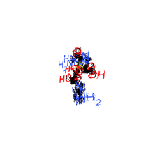 Nc1nc2c(ncn2[C@@H]2O[C@H](CO)C[C@H]2P(O)(=S)OC[C@H]2O[C@@H](n3cnc4c(N)ncnc43)C[C@@H]2O)c(=O)[nH]1